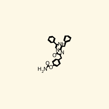 NC(=O)Oc1ccc(Cc2nc3c(Cc4ccccc4)[nH]c(-c4ccccc4)cn-3c2=O)cc1